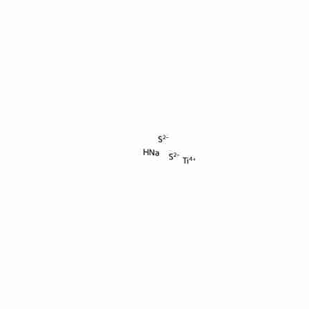 [NaH].[S-2].[S-2].[Ti+4]